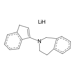 C1=C(N2CCc3ccccc3C2)c2ccccc2C1.[LiH]